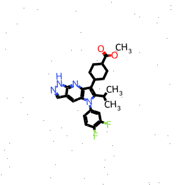 COC(=O)C1CCC(c2c(C(C)C)n(-c3ccc(F)c(F)c3)c3cc4cn[nH]c4nc23)CC1